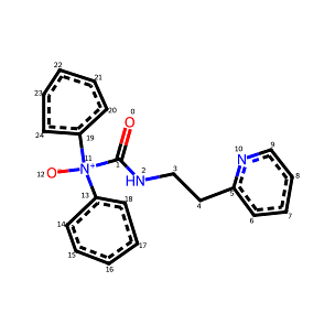 O=C(NCCc1ccccn1)[N+]([O-])(c1ccccc1)c1ccccc1